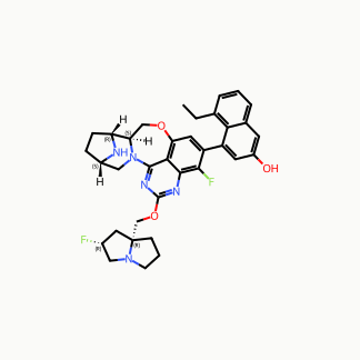 CCc1cccc2cc(O)cc(-c3cc4c5c(nc(OC[C@]67CCCN6C[C@H](F)C7)nc5c3F)N3C[C@@H]5CC[C@@H](N5)[C@H]3CO4)c12